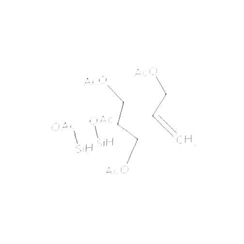 C=CCOC(C)=O.CC(=O)OCCCOC(C)=O.CC(=O)O[SiH3].CC(=O)O[SiH3]